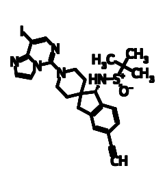 C#Cc1ccc2c(c1)CC1(CCN(c3ncc(I)c4nccn34)CC1)[C@@H]2N[S@+]([O-])C(C)(C)C